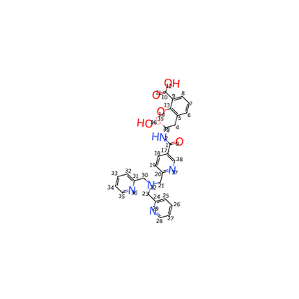 O=C(N[C@H]1Cc2cccc(C(=O)O)c2OB1O)c1ccc(CN(Cc2ccccn2)Cc2ccccn2)nc1